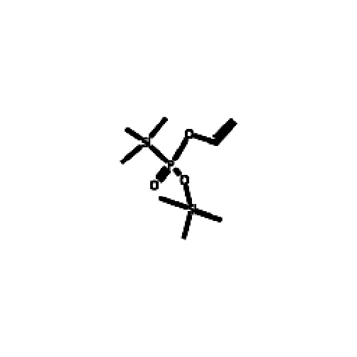 C=COP(=O)(O[Si](C)(C)C)[Si](C)(C)C